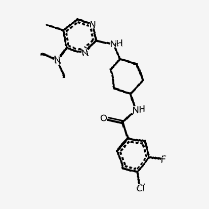 Cc1cnc(NC2CCC(NC(=O)c3ccc(Cl)c(F)c3)CC2)nc1N(C)C